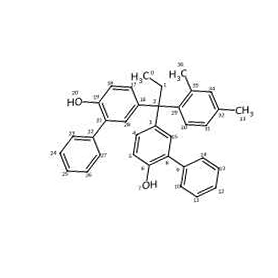 CCC(c1ccc(O)c(-c2ccccc2)c1)(c1ccc(O)c(-c2ccccc2)c1)c1ccc(C)cc1C